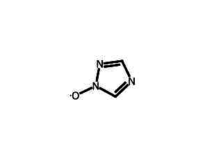 [O]n1cncn1